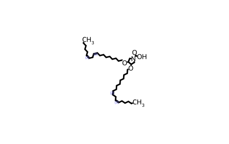 CCCCC/C=C\C/C=C\CCCCCCCCOC1CN(C(=O)O)CC1OCCCCCCCC/C=C\C/C=C\CCCCC